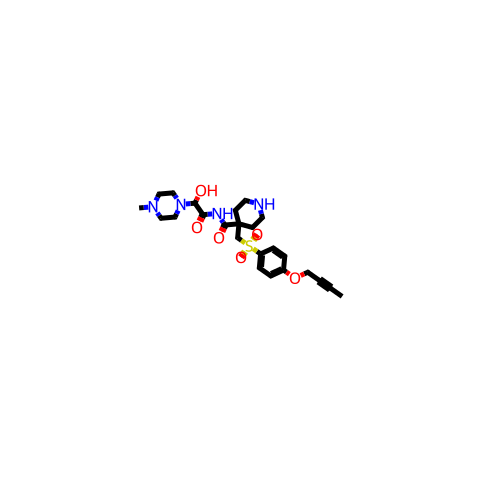 CC#CCOc1ccc(S(=O)(=O)CC2(C(=O)NC(=O)C(O)N3CCN(C)CC3)CCNCC2)cc1